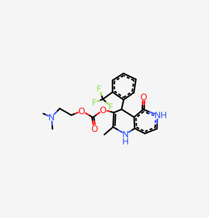 CC1=C(OC(=O)OCCN(C)C)C(c2ccccc2C(F)(F)F)c2c(cc[nH]c2=O)N1